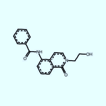 O=C(Nc1cccc2c(=O)n(CCO)ccc12)c1ccccc1